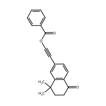 CC1(C)CCC(=O)c2ccc(C#COC(=O)c3ccccc3)cc21